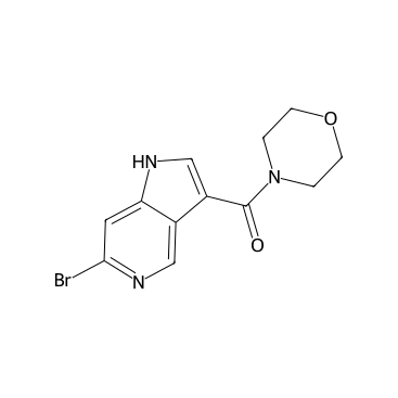 O=C(c1c[nH]c2cc(Br)ncc12)N1CCOCC1